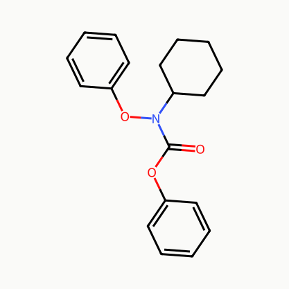 O=C(Oc1ccccc1)N(Oc1ccccc1)C1CCCCC1